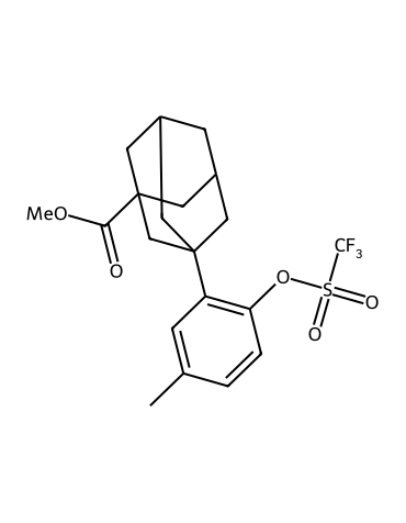 COC(=O)C12CC3CC(C1)CC(c1cc(C)ccc1OS(=O)(=O)C(F)(F)F)(C3)C2